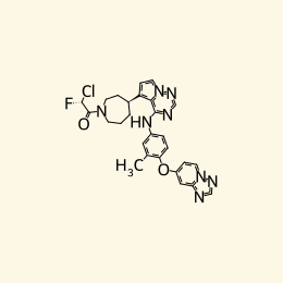 Cc1cc(Nc2ncnn3ccc([C@H]4CCCN(C(=O)[C@H](F)Cl)CC4)c23)ccc1Oc1ccn2ncnc2c1